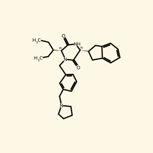 CCC(CC)[C@@H]1C(=O)N[C@H](C2Cc3ccccc3C2)C(=O)N1Cc1cccc(CN2CCCC2)c1